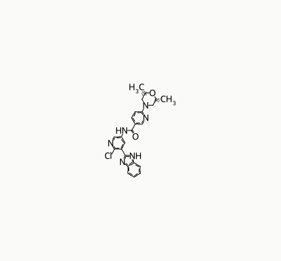 C[C@@H]1CN(c2ccc(C(=O)Nc3cnc(Cl)c(-c4nc5ccccc5[nH]4)c3)cn2)C[C@H](C)O1